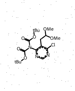 COC(Cc1c(Cl)ncnc1N(C(=O)OC(C)(C)C)C(=O)OC(C)(C)C)OC